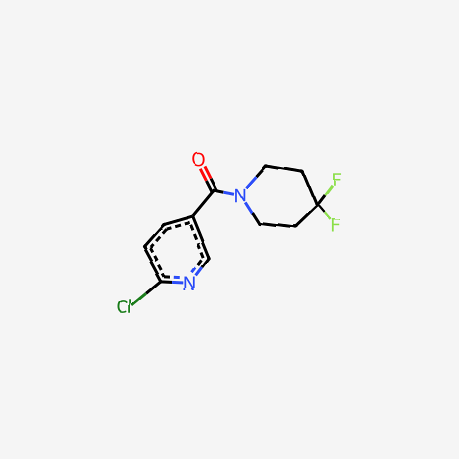 O=C(c1ccc(Cl)nc1)N1CCC(F)(F)CC1